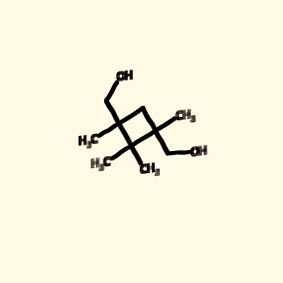 CC1(CO)CC(C)(CO)C1(C)C